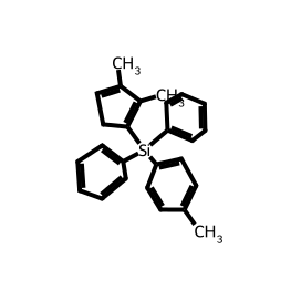 CC1=CCC([Si](c2ccccc2)(c2ccccc2)c2ccc(C)cc2)=C1C